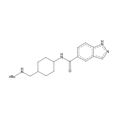 CCCCNCC1CCC(NC(=O)c2ccc3[nH]ncc3c2)CC1